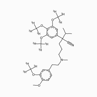 [2H]C([2H])([2H])Oc1cc(CCN(C)CCCC(C#N)(c2cc(OC([2H])([2H])[2H])c(OC([2H])([2H])[2H])c(OC([2H])([2H])[2H])c2)C(C)C)ccc1OC